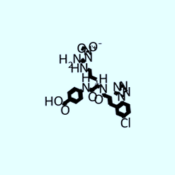 NC(=N[N+](=O)[O-])NCCC[C@H](NC(=O)C=Cc1cc(Cl)ccc1-n1cnnn1)C(=O)Nc1ccc(C(=O)O)cc1